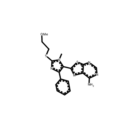 COCCSc1nc(-c2ccccc2)c(-c2nc3c(N)ncnc3s2)n1C